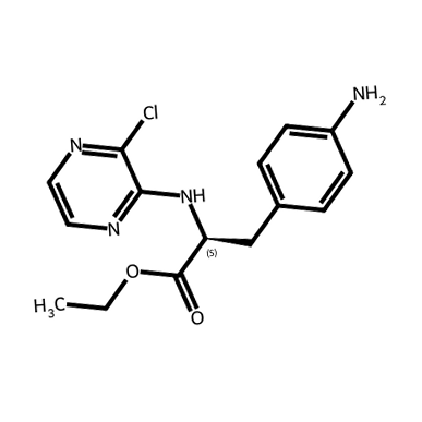 CCOC(=O)[C@H](Cc1ccc(N)cc1)Nc1nccnc1Cl